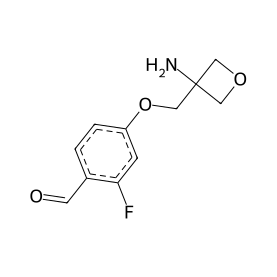 NC1(COc2ccc(C=O)c(F)c2)COC1